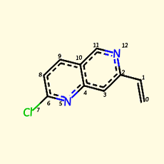 C=Cc1cc2nc(Cl)ccc2cn1